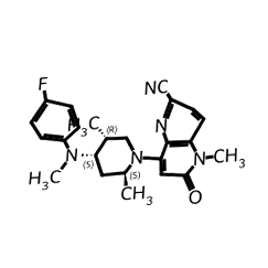 C[C@@H]1CN(c2cc(=O)n(C)c3ccc(C#N)nc23)[C@@H](C)C[C@@H]1N(C)c1ccc(F)cc1